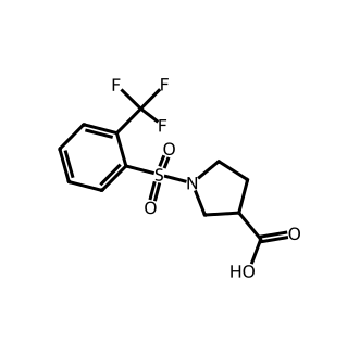 O=C(O)C1CCN(S(=O)(=O)c2ccccc2C(F)(F)F)C1